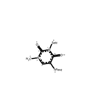 CCCCCc1cn(C)c(=O)n([SeH])c1=O